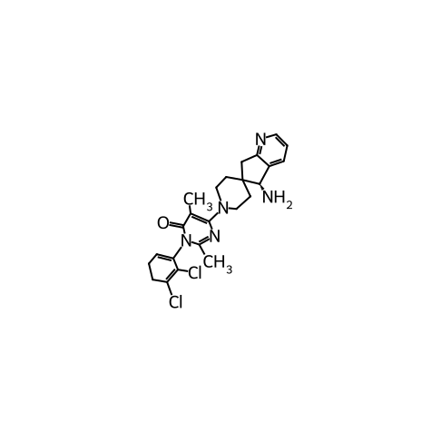 Cc1c(N2CCC3(CC2)Cc2ncccc2[C@H]3N)nc(C)n(C2=CCCC(Cl)=C2Cl)c1=O